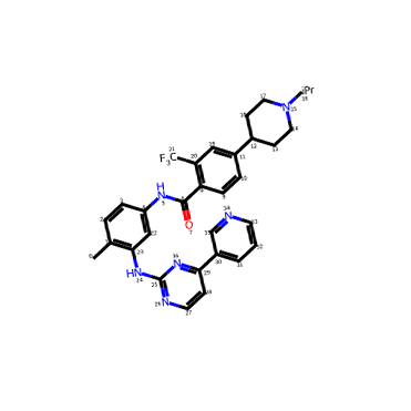 Cc1ccc(NC(=O)c2ccc(C3CCN(C(C)C)CC3)cc2C(F)(F)F)cc1Nc1nccc(-c2cccnc2)n1